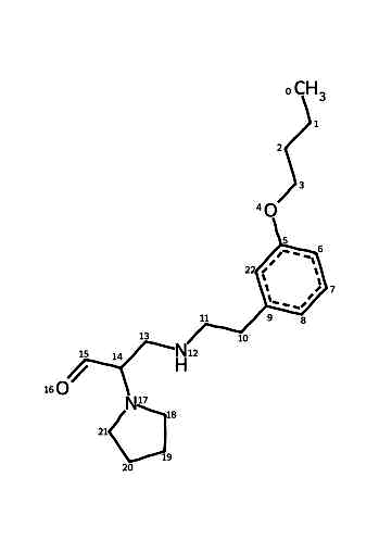 CCCCOc1cccc(CCNCC(C=O)N2CCCC2)c1